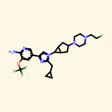 Nc1ncc(-c2cn(C3C4CC(N5CCN(CCF)CC5)CC43)c(CC3CC3)n2)cc1OC(F)(F)F